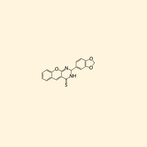 S=C1NC(c2ccc3c(c2)OCO3)N=C2Oc3ccccc3C=C12